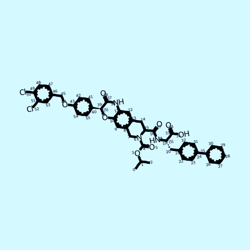 CC(C)OC(=O)N1Cc2cc3c(cc2CC1C(=O)N[C@@H](Cc1ccc(-c2ccccc2)cc1)C(=O)O)NC(=O)[C@H](c1ccc(OCc2ccc(Cl)c(Cl)c2)cc1)O3